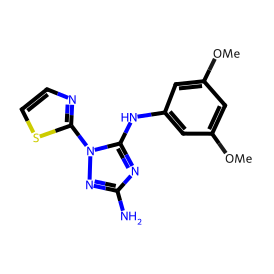 COc1cc(Nc2nc(N)nn2-c2nccs2)cc(OC)c1